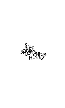 CC(C)(C)OC(=O)N(c1cscn1)S(=O)(=O)c1cc(Cl)c(N[C@@H](N)c2cccc(Br)c2)cc1F